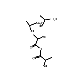 CC(O)C(=O)O.CC(O)C(=O)O.CC(O)C(=O)OC(=O)C(C)O